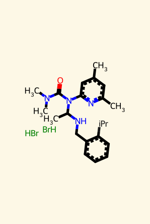 Br.Br.Cc1cc(C)nc(N(C(=O)N(C)C)C(C)NCc2ccccc2C(C)C)c1